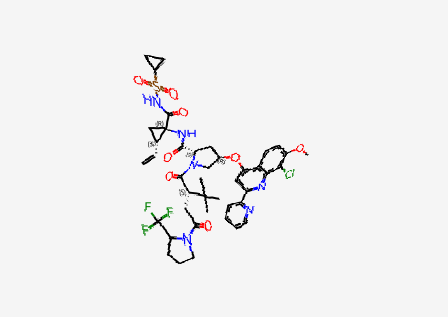 C=C[C@@H]1C[C@]1(NC(=O)[C@@H]1C[C@@H](Oc2cc(-c3ccccn3)nc3c(Cl)c(OC)ccc23)CN1C(=O)[C@@H](CC(=O)N1CCCC1C(F)(F)F)C(C)(C)C)C(=O)NS(=O)(=O)C1CC1